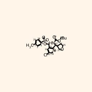 Cc1ccc(S(=O)(=O)OCc2cc(Cl)cnc2C(NC(=O)OC(C)(C)C)C2CCOC2)cc1